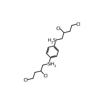 ClCCC(Cl)C[SiH2]c1ccc([SiH2]CC(Cl)CCCl)cc1